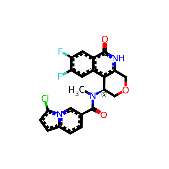 CN(C(=O)c1ccc2ccc(Cl)n2c1)[C@@H]1COCc2[nH]c(=O)c3cc(F)c(F)cc3c21